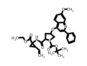 C=CC1CC1(NC(=O)C1CC(Oc2cc(-c3ccccc3)nc3cc(OC)ccc23)CN1C(=O)OC(C)(C)C)C(=O)OCC